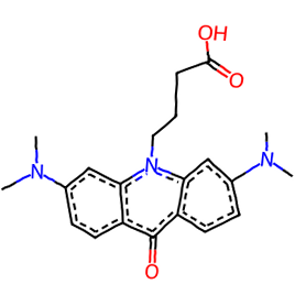 CN(C)c1ccc2c(=O)c3ccc(N(C)C)cc3n(CCCC(=O)O)c2c1